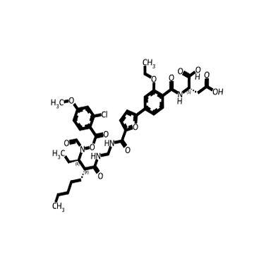 CCCCC[C@@H](C(=O)NCNC(=O)c1ccc(-c2ccc(C(=O)N[C@@H](CC(=O)O)C(=O)O)c(OCC)c2)o1)[C@@H](CC)N(C=O)OC(=O)c1ccc(OC)cc1Cl